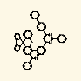 c1ccc(-c2ccc(-c3cc(-c4ccc5nc(-c6ccccc6)c6ccc7c(c6c5c4)Sc4ccccc4C74c5ccccc5-c5ccccc54)nc(-c4ccccc4)n3)cc2)cc1